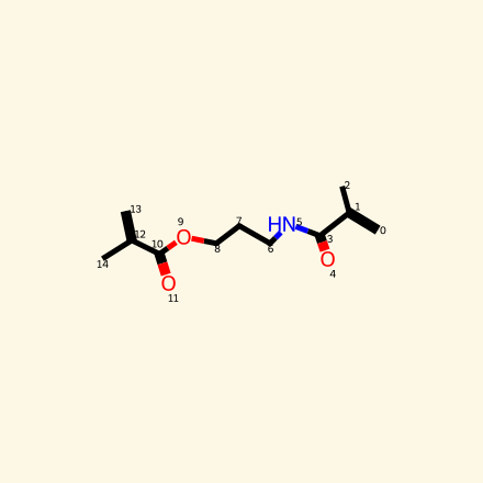 C=C(C)C(=O)NCCCOC(=O)C(=C)C